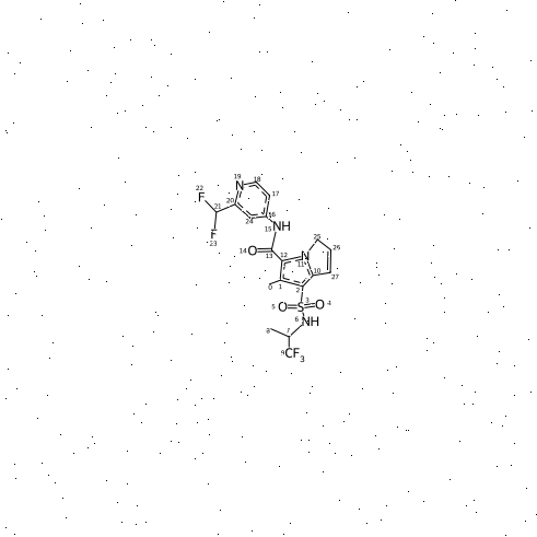 Cc1c(S(=O)(=O)NC(C)C(F)(F)F)c2n(c1C(=O)Nc1ccnc(C(F)F)c1)CC=C2